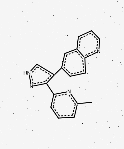 Cc1cccc(-c2n[nH]cc2-c2ccc3ncccc3c2)n1